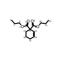 CCCOC(=O)C1(C(=O)OCCC)C=CCCC1